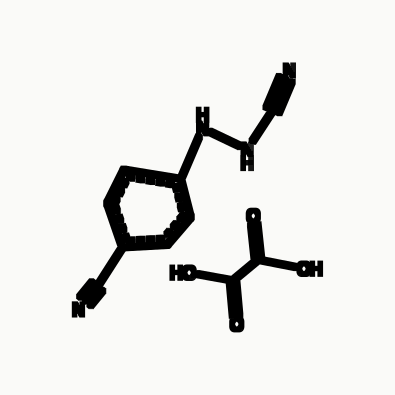 N#CNNc1ccc(C#N)cc1.O=C(O)C(=O)O